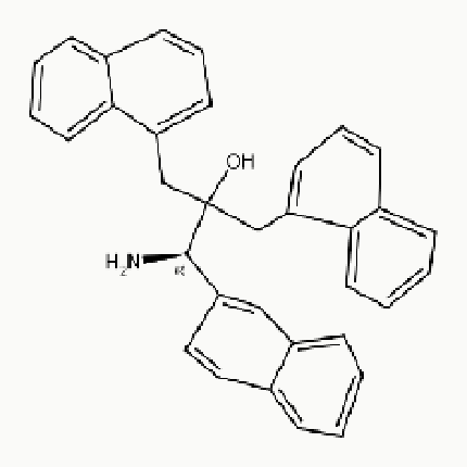 N[C@H](c1ccc2ccccc2c1)C(O)(Cc1cccc2ccccc12)Cc1cccc2ccccc12